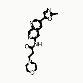 Cc1ncc(-c2cnc3cnc(NC(=O)CCN4CCOCC4)cc3c2)o1